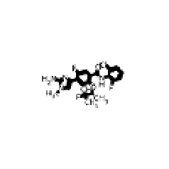 C[C@H](Oc1cc(-c2cn(C)c(N)n2)c(F)cc1C(=O)Nc1c(F)cccc1Cl)C(C)(C)F